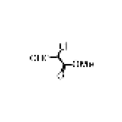 COC(=O)C(Cl)[C]=O